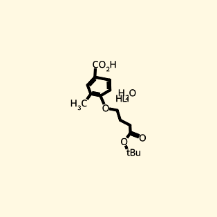 Cc1cc(C(=O)O)ccc1OCCCC(=O)OC(C)(C)C.O.[LiH]